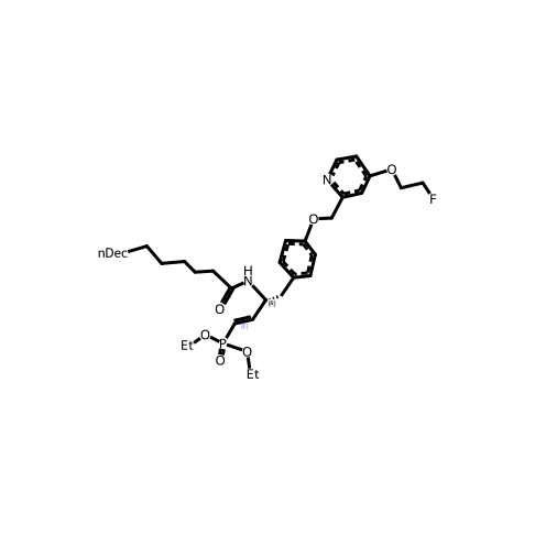 CCCCCCCCCCCCCCCC(=O)N[C@@H](/C=C/P(=O)(OCC)OCC)Cc1ccc(OCc2cc(OCCF)ccn2)cc1